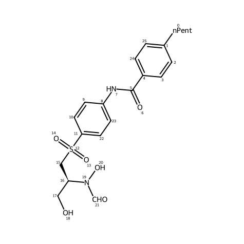 CCCCCc1ccc(C(=O)Nc2ccc(S(=O)(=O)C[C@H](CO)N(O)C=O)cc2)cc1